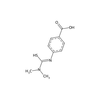 CN(C)C(S)=Nc1ccc(C(=O)O)cc1